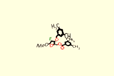 COC1O[C@H](COC(=O)c2cc(C)cc(C)c2)[C@@H](OCc2cc(C)cc(C)c2)[C@@H]1F